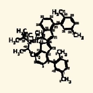 Cc1ccc(C)c(-c2cccc3c2C=C[CH]3[Hf]([CH3])([CH3])([CH]2C=Cc3c(-c4cc(C)ccc4C)cccc32)=[Si](C(C)C)C(C)C)c1